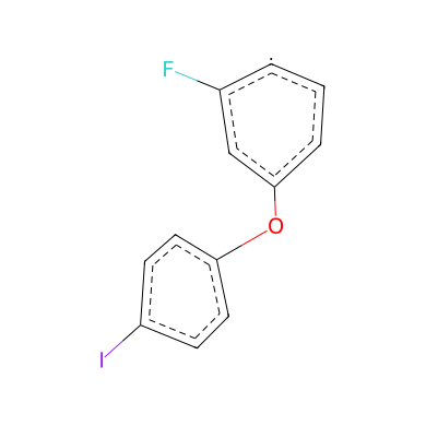 Fc1[c]ccc(Oc2ccc(I)cc2)c1